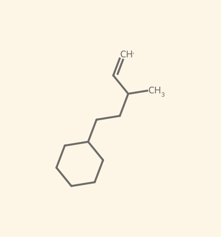 [CH]=CC(C)CCC1CCCCC1